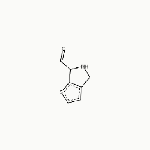 O=CC1NCc2ccsc21